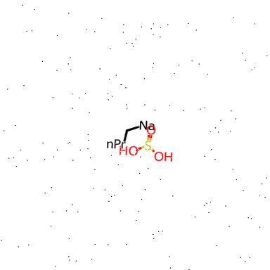 CCC[CH2][Na].O=S(O)O